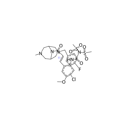 COc1cc(/C=C/C(=O)N2C3CN(C)CC2CN(Cc2ccc(F)cc2)C3)c(NC(=O)N(S(C)(=O)=O)S(C)(=O)=O)cc1Cl